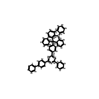 c1ccc(-c2ccc(-c3nc(-c4ccccc4)nc(-c4ccc(C5(c6ccccc6)c6ccccc6-n6c7ccccc7c7cccc5c76)cc4)n3)cc2)cc1